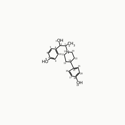 CC(C(O)c1ccc(O)cc1)N1CCC(c2ccc(O)cc2)CC1